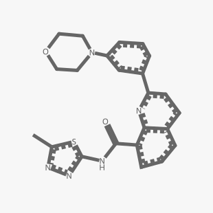 Cc1nnc(NC(=O)c2cccc3ccc(-c4cccc(N5CCOCC5)c4)nc23)s1